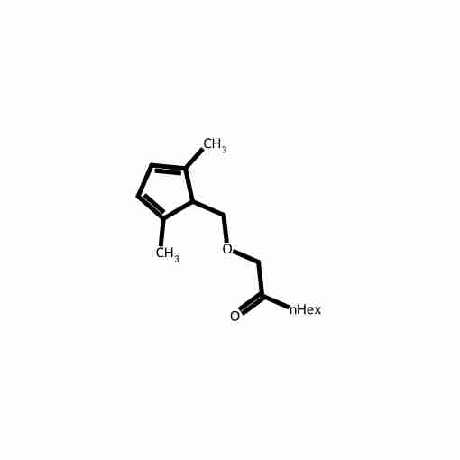 CCCCCCC(=O)COCC1C(C)=CC=C1C